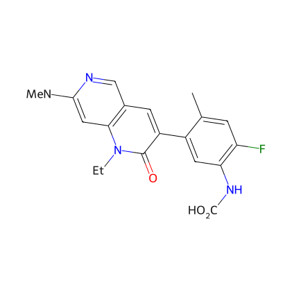 CCn1c(=O)c(-c2cc(NC(=O)O)c(F)cc2C)cc2cnc(NC)cc21